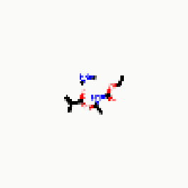 C=C(C)C(=O)OC(C)NC(=O)OCC.CNC